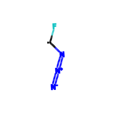 [N-]=[N+]=N[CH]F